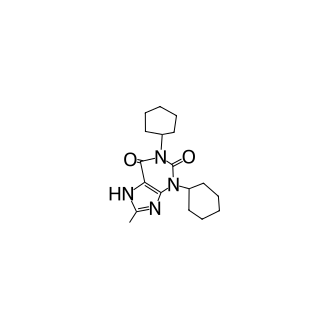 Cc1nc2c([nH]1)c(=O)n(C1CCCCC1)c(=O)n2C1CCCCC1